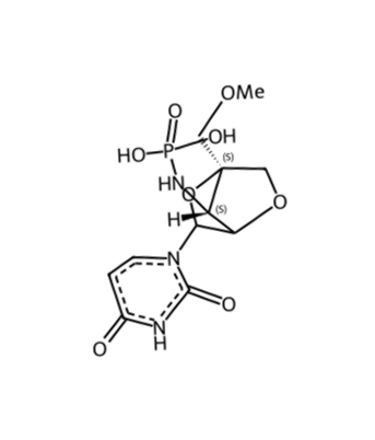 COC[C@@]12COC(C(n3ccc(=O)[nH]c3=O)O1)[C@@H]2NP(=O)(O)O